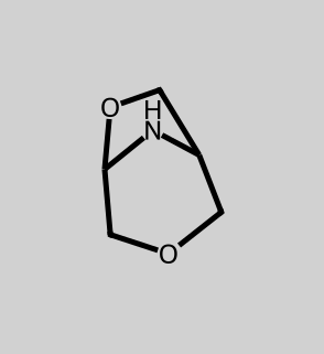 C1OCC2NC1CO2